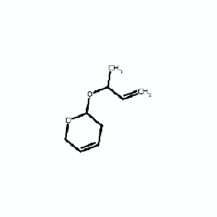 C=CC(C)OC1CC=CCO1